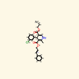 CC1=C(C(=O)OC/C=C/c2ccccc2)C(c2cccc(Cl)c2)C(C(=O)OCCC#N)=CN1